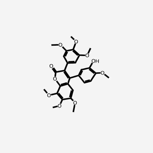 COc1ccc(-c2c(-c3cc(OC)c(OC)c(OC)c3)c(=O)oc3c(OC)c(OC)c(OC)cc23)cc1O